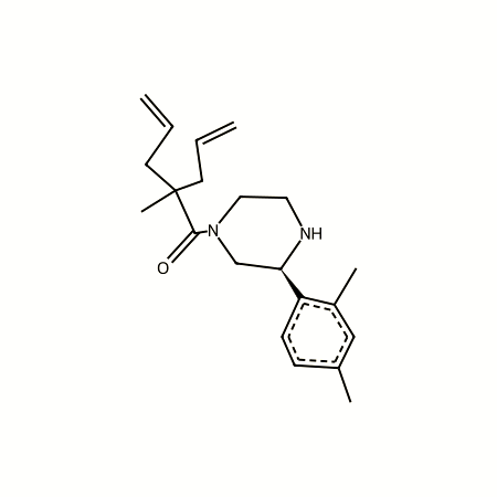 C=CCC(C)(CC=C)C(=O)N1CCN[C@@H](c2ccc(C)cc2C)C1